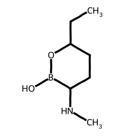 CCC1CCC(NC)B(O)O1